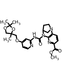 COC(=O)c1ccc2c(n1)N(C(=O)Nc1cc(OCC3(C)COC(C)(C)O3)ccn1)C1CCN2C1